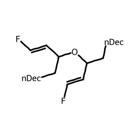 CCCCCCCCCCCC(C=CF)OC(C=CF)CCCCCCCCCCC